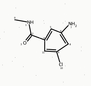 CNC(=O)c1cc(N)cc(Cl)c1